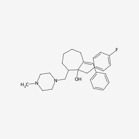 CN1CCN(CC2CCCCC(=Cc3ccccc3)C2(O)Cc2ccc(F)cc2)CC1